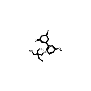 CCC(CO)(CO)CO.COc1cccc(C2CC(=O)CC(=O)C2)c1